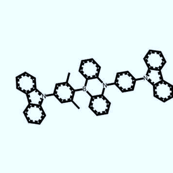 Cc1cc(-n2c3ccccc3c3ccccc32)cc(C)c1B1c2ccccc2N(c2ccc(-n3c4ccccc4c4ccccc43)cc2)c2ccccc21